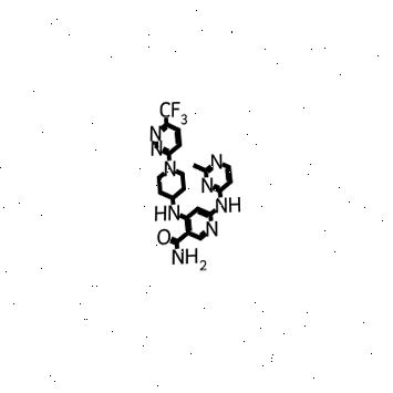 Cc1nccc(Nc2cc(NC3CCN(c4ccc(C(F)(F)F)nn4)CC3)c(C(N)=O)cn2)n1